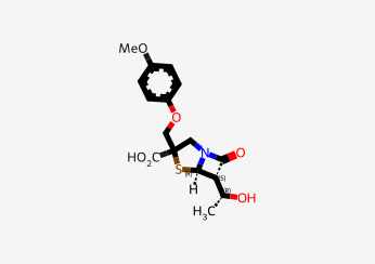 COc1ccc(OCC2(C(=O)O)CN3C(=O)[C@H]([C@@H](C)O)[C@H]3S2)cc1